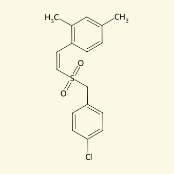 Cc1ccc(/C=C\S(=O)(=O)Cc2ccc(Cl)cc2)c(C)c1